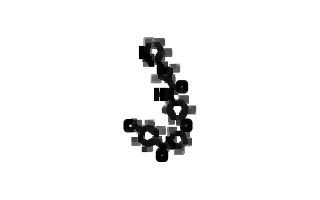 O=C(Nc1ccc(O[C@@H]2CCN(C(=O)c3ccc(Cl)cc3)C2)cc1)C1CN(c2cccnn2)C1